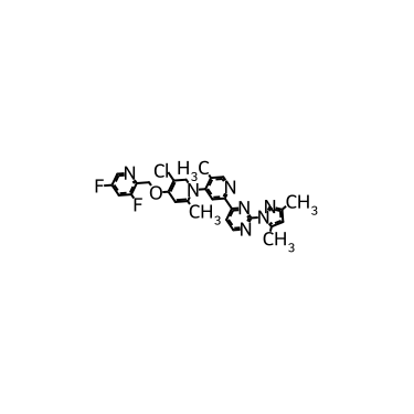 CC1=CC(OCc2ncc(F)cc2F)=C(Cl)CN1c1cc(-c2ccnc(-n3nc(C)cc3C)n2)ncc1C